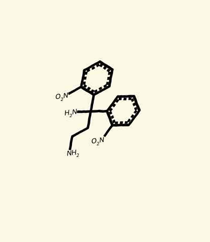 NCCC(N)(c1ccccc1[N+](=O)[O-])c1ccccc1[N+](=O)[O-]